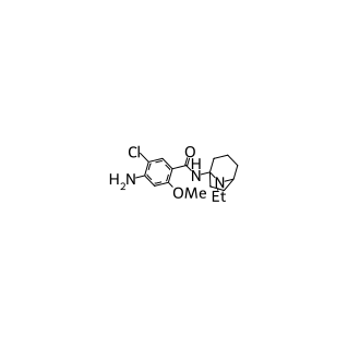 CCN1C2CCCC1(NC(=O)c1cc(Cl)c(N)cc1OC)CC2